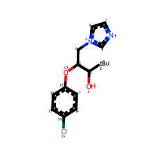 CC(C)(C)C(O)C(Cn1ccnc1)Oc1ccc(Cl)cc1